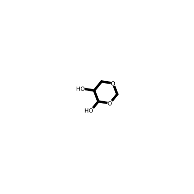 OC1COCOC1O